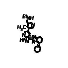 CCNCc1cncc(-c2cnc3[nH]nc(-c4nc5c(N6CCCCC6)cccc5[nH]4)c3c2)c1C